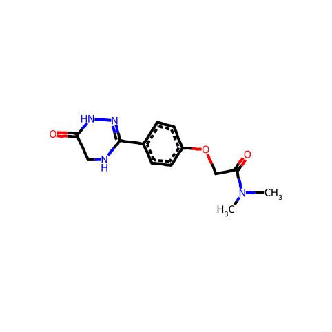 CN(C)C(=O)COc1ccc(C2=NNC(=O)CN2)cc1